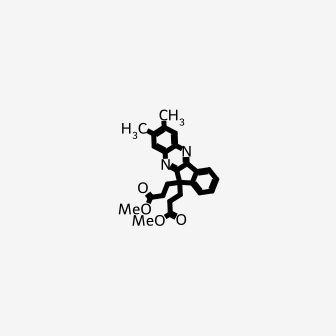 COC(=O)CCC1(CCC(=O)OC)c2ccccc2-c2nc3cc(C)c(C)cc3nc21